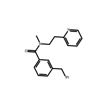 CC(C)Cc1cccc(C(=O)N(C)CCc2ccccn2)c1